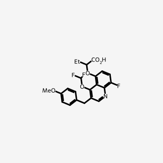 CCC(Oc1ccc(F)c2ncc(Cc3ccc(OC)cc3)c(OC(F)F)c12)C(=O)O